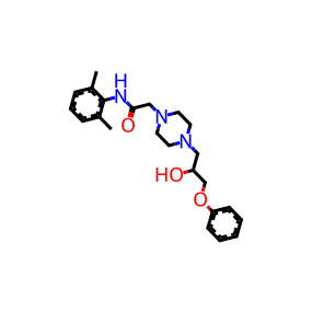 Cc1cccc(C)c1NC(=O)CN1CCN(CC(O)COc2ccccc2)CC1